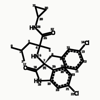 CC(C)CC(C)(N[C@]1(Cc2cccc(Cl)c2)C(=O)Nc2cc(Cl)ccc21)C(=O)NC1CC1